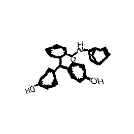 O=C(NC1CC2CCC1C2)c1ccccc1C(c1ccc(O)cc1)c1ccc(O)cc1